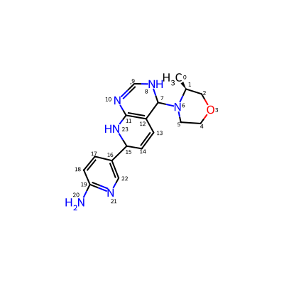 C[C@H]1COCCN1C1N[C]=NC2=C1C=CC(c1ccc(N)nc1)N2